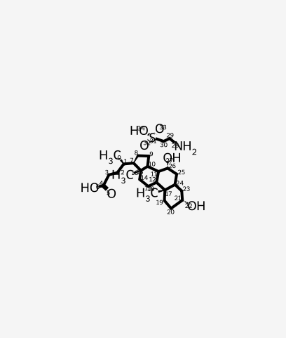 C[C@H](CCC(=O)O)[C@H]1CCC2C3C(CC[C@@]21C)[C@@]1(C)CC[C@@H](O)CC1C[C@H]3O.NCCS(=O)(=O)O